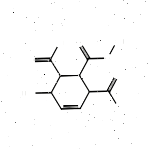 COC(=O)C1C(C(=O)O)C=CC(C)C1C(=O)O